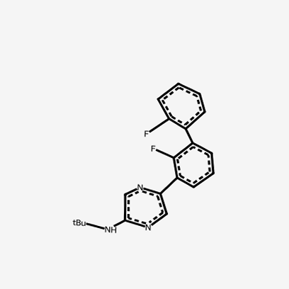 CC(C)(C)Nc1cnc(-c2cccc(-c3ccccc3F)c2F)cn1